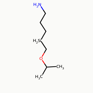 CC(C)OC[SiH2]CCCN